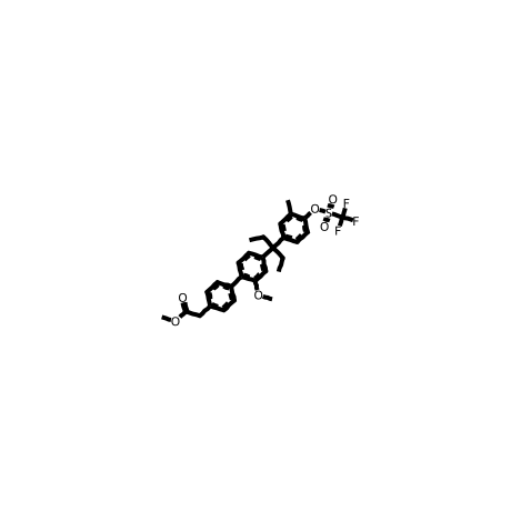 CCC(CC)(c1ccc(OS(=O)(=O)C(F)(F)F)c(C)c1)c1ccc(-c2ccc(CC(=O)OC)cc2)c(OC)c1